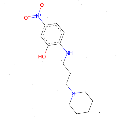 O=[N+]([O-])c1ccc(NCCCN2CCCCC2)c(O)c1